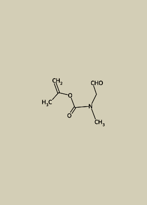 C=C(C)OC(=O)N(C)CC=O